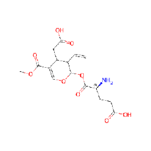 C=CC1C(OC(=O)[C@@H](N)CCC(=O)O)OC=C(C(=O)OC)C1CC(=O)O